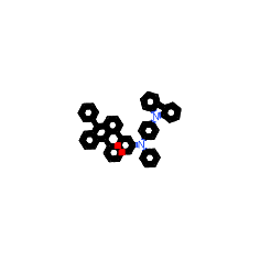 c1ccc(-c2c3ccccc3c(-c3ccccc3)c3c(-c4cccc(N(c5ccccc5)c5ccc(-n6c7ccccc7c7ccccc76)cc5)c4)cccc23)cc1